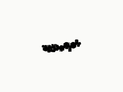 CN(C)C(=O)c1ccc(Nc2nccc(-c3cnn(C(CC#N)CC4CCN(S(=O)(=O)c5ccn(C)n5)CC4)c3)n2)cc1